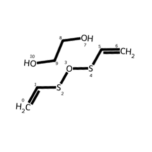 C=CSOSC=C.OCCO